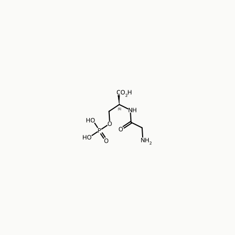 NCC(=O)N[C@@H](COP(=O)(O)O)C(=O)O